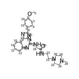 COc1ccc(-c2nc3c4ccccc4nc(NCC(=O)NCCN4CCN(C)CC4)n3n2)cc1